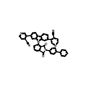 N#Cc1ccncc1-c1ccc2c3ccc(-c4cnccc4C#N)cc3n(-c3cccc4c3C(=O)N(c3ccc(-c5ccccc5)cc3)C4=O)c2c1